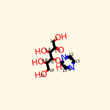 O=C(CO)C(O)C(O)C(O)CO.c1cnccn1